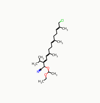 CCOC(C)OC(C#N)/C(=C/C=C(\C)CC/C=C(\C)CC/C=C(\C)CCl)C(C)C